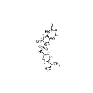 CC(C)c1ccc(NS(=O)(=O)c2cc3c(cc2Br)NC(=O)CCO3)cc1